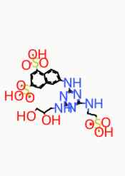 O=S(=O)(O)CCNc1nc(NCC(O)CO)nc(Nc2ccc3c(S(=O)(=O)O)cc(S(=O)(=O)O)cc3c2)n1